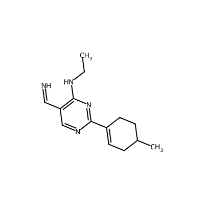 CCNc1nc(C2=CCC(C)CC2)ncc1C=N